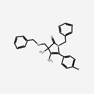 CC1=C(c2ccc(F)cc2)N(Cc2ccccc2)C(=O)C1(C)C[Se]Cc1ccccc1